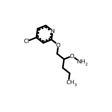 CCCC(COc1cc(Cl)ccn1)ON